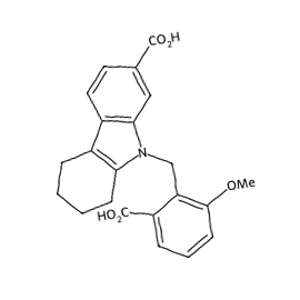 COc1cccc(C(=O)O)c1Cn1c2c(c3ccc(C(=O)O)cc31)CCCC2